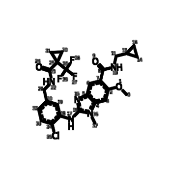 COc1cc2c(cc1C(=O)NCC1CC1)nc(Nc1cc(CNC(=O)C3(C(F)(F)F)CC3)ccc1Cl)n2C